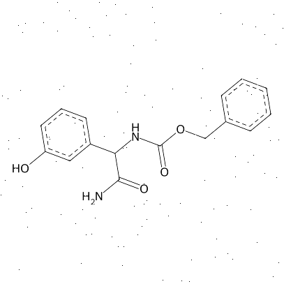 NC(=O)C(NC(=O)OCc1ccccc1)c1cccc(O)c1